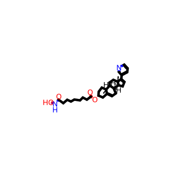 C[C@]12CC[C@@H](OC(=O)CCCCCCCC(=O)NO)CC1=CC[C@@H]1[C@@H]2CC[C@]2(C)C(c3cccnc3)=CC[C@@H]12